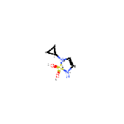 O=S1(=O)NC=CN1C1CC1